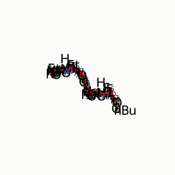 CCCCOCCOc1ccc(-c2ccc(OC(F)F)c(/C=C/C(=O)Nc3ccc([S+]([O-])Cc4c(C)ncn4CCCCCOCCOc4ccc(-c5ccc(OCC)c(/C=C/C(=O)Nc6ccc([S+]([O-])Cc7c(C)ncn7CC)cc6)c5)cc4)cc3)c2)cc1